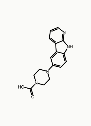 O=C(O)N1CCN(c2ccc3[nH]c4ncccc4c3c2)CC1